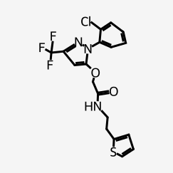 O=C(COc1cc(C(F)(F)F)nn1-c1ccccc1Cl)NCCc1cccs1